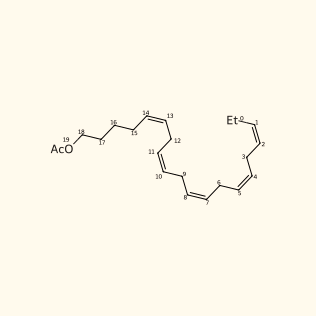 CC/C=C\C/C=C\C/C=C\C/C=C\C/C=C\CCCCOC(C)=O